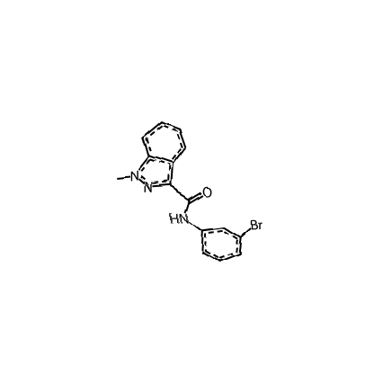 Cn1nc(C(=O)Nc2cccc(Br)c2)c2ccccc21